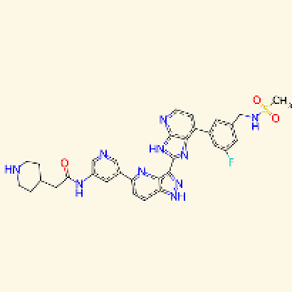 CS(=O)(=O)NCc1cc(F)cc(-c2ccnc3[nH]c(-c4n[nH]c5ccc(-c6cncc(NC(=O)CC7CCNCC7)c6)nc45)nc23)c1